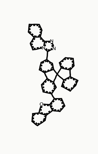 c1ccc2c(c1)-c1ccccc1C21c2cc(-c3cccc4c3oc3ccccc34)ccc2-c2ccc(-c3nnc4c5ccccc5ccn34)cc21